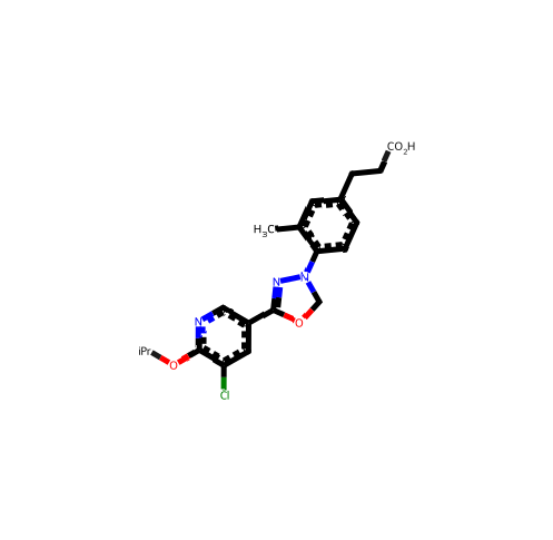 Cc1cc(CCC(=O)O)ccc1N1COC(c2cnc(OC(C)C)c(Cl)c2)=N1